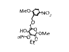 CCCO[C@H]1[C@H](O)[C@@H](COCc2cc([N+](=O)[O-])ccc2OC)OC(OC)[C@@H]1OCC